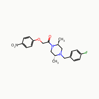 C[C@@H]1CN(C(=O)COc2ccc([N+](=O)[O-])cc2)[C@@H](C)CN1Cc1ccc(F)cc1